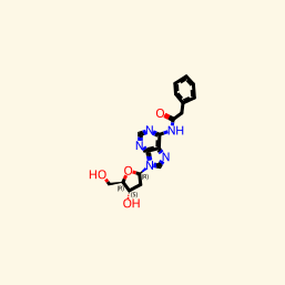 O=C(Cc1ccccc1)Nc1ncnc2c1ncn2[C@H]1C[C@H](O)[C@@H](CO)O1